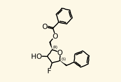 O=C(OC[C@H]1O[C@@H](Cc2ccccc2)C(F)C1O)c1ccccc1